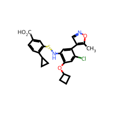 Cc1oncc1-c1cc(NSc2cc(C(=O)O)ccc2C2CC2)c(OC2CCC2)cc1Cl